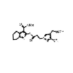 CNCc1cn(CCC(=O)Nc2sc3c(c2C(=O)NC)CCCC3)nc1C(F)(F)F